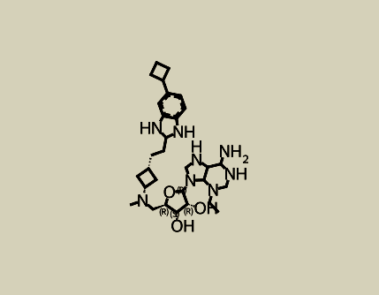 CCN1CNC(N)C2NCN([C@@H]3O[C@H](CN(C)[C@H]4C[C@@H](CCC5Nc6ccc(C7CCC7)cc6N5)C4)[C@@H](O)[C@H]3O)C21